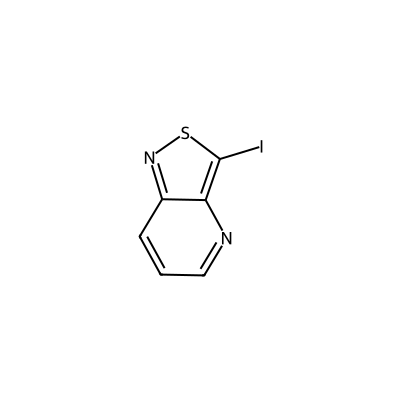 Ic1snc2cccnc12